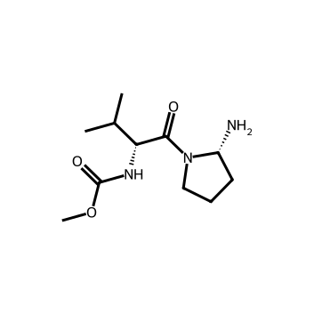 COC(=O)N[C@@H](C(=O)N1CCC[C@H]1N)C(C)C